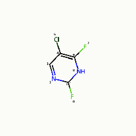 F[C]1N=CC(Cl)=C(F)N1